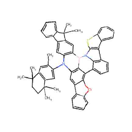 Cc1cc2c(cc1N1c3cc4c(cc3B3c5c1cc1c(oc6ccccc61)c5-c1cccc5c6c7ccccc7sc6n3c15)C(C)(C)c1ccccc1-4)C(C)(C)CCC2(C)C